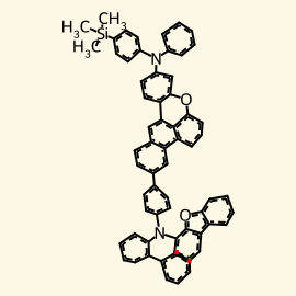 C[Si](C)(C)c1ccc(N(c2ccccc2)c2ccc3c(c2)Oc2cccc4c2c-3cc2ccc(-c3ccc(N(c5ccccc5-c5ccccc5)c5cccc6c5oc5ccccc56)cc3)cc24)cc1